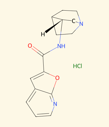 Cl.O=C(N[C@H]1CN2CCC1CC2)c1cc2cccnc2o1